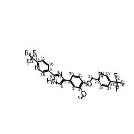 COc1cc(-c2c[nH]c(-c3ccc(C(F)(F)F)nc3)n2)ccc1OCc1ccc(C(F)(F)F)cn1